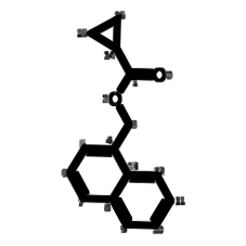 O=C(OCc1cccc2ccccc12)C1CC1